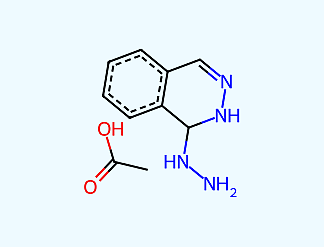 CC(=O)O.NNC1NN=Cc2ccccc21